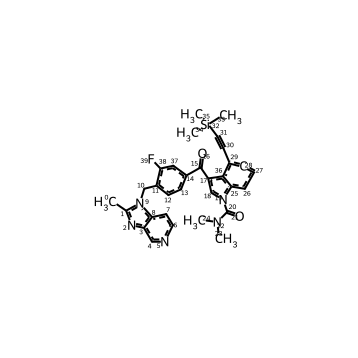 Cc1nc2cnccc2n1Cc1ccc(C(=O)c2cn(C(=O)N(C)C)c3cccc(C#C[Si](C)(C)C)c23)cc1F